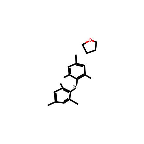 C1CCOC1.Cc1cc(C)[c]([3Cr][c]2c(C)cc(C)cc2C)c(C)c1